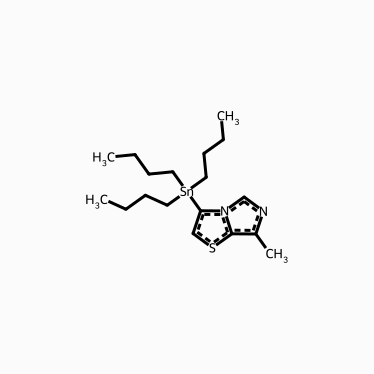 CCC[CH2][Sn]([CH2]CCC)([CH2]CCC)[c]1csc2c(C)ncn12